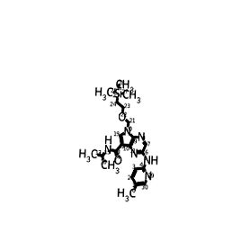 Cc1ccc(Nc2cnc3c(n2)c(C(=O)NC(C)C)cn3COCC[Si](C)(C)C)nc1